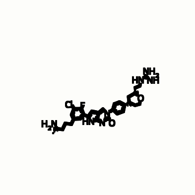 C[C@H](N)CCCc1cc(Cl)c(F)c(-c2cc3cn(-c4ccc([C@H]5CCO[C@H](CCNC(=N)N)C5)cc4)c(=O)nc3[nH]2)c1